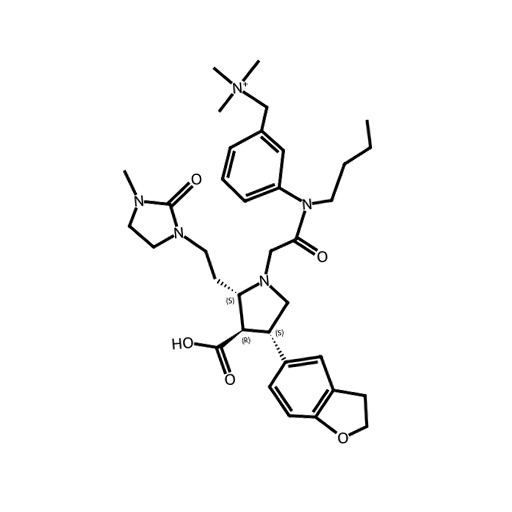 CCCCN(C(=O)CN1C[C@H](c2ccc3c(c2)CCO3)[C@@H](C(=O)O)[C@@H]1CCN1CCN(C)C1=O)c1cccc(C[N+](C)(C)C)c1